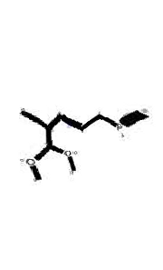 C=PC/C=C/C(C)C(OC)OC